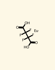 O=C(O)C(F)(F)C(F)(F)C(=O)O.[Eu]